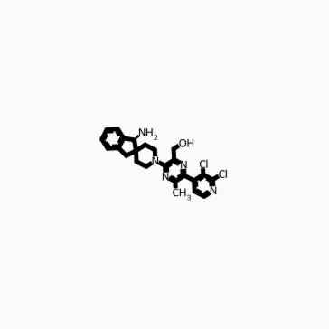 Cc1nc(N2CCC3(CC2)Cc2ccccc2[C@H]3N)c(CO)nc1-c1ccnc(Cl)c1Cl